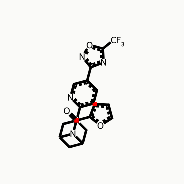 O=C(c1ccco1)N1C2CC1CN(c1ccc(-c3noc(C(F)(F)F)n3)cn1)C2